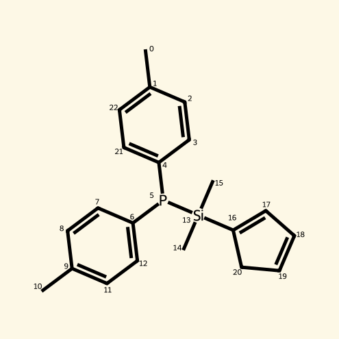 Cc1ccc(P(c2ccc(C)cc2)[Si](C)(C)C2=CC=CC2)cc1